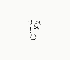 CC(C)C1(COCc2ccccc2)CC1